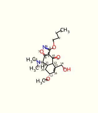 CCCCOc1noc2c1C(=O)C1C(CO)=C[C@H](OC)C[C@H]1[C@@H]2N(C)C